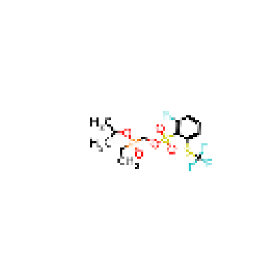 CCP(=O)(COS(=O)(=O)c1c(F)cccc1SC(F)(F)F)OC(C)C